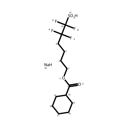 O=C(OCCCCC(F)(F)C(F)(F)S(=O)(=O)O)C1CCCCC1.[NaH]